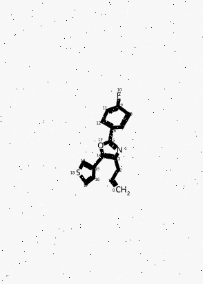 C=CCc1nc(-c2ccc(F)cc2)oc1-c1ccsc1